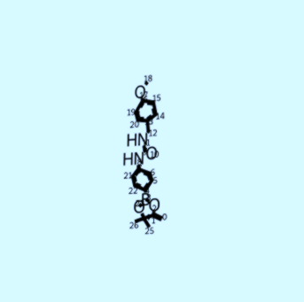 C=C1OB(c2ccc(NC(=O)NCc3ccc(OC)cc3)cc2)OC1(C)C